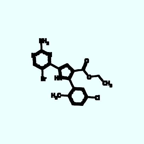 CCOC(=O)c1cc(-c2nc(N)ncc2Br)[nH]c1-c1cc(Cl)ccc1C